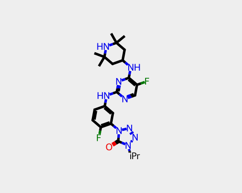 CC(C)n1nnn(-c2cc(Nc3ncc(F)c(NC4CC(C)(C)NC(C)(C)C4)n3)ccc2F)c1=O